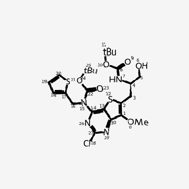 COc1c(C[C@H](CO)NC(=O)OC(C)(C)C)sc2c(N(Cc3cccs3)C(=O)OC(C)(C)C)nc(Cl)nc12